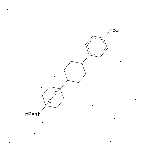 CCCCCC12CCC(C3CCC(c4ccc(CCCC)cc4)CC3)(CC1)CC2